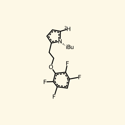 [2H]c1ccc(CCOc2c(F)c(F)cc(F)c2F)n1[C@@H](C)CC